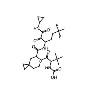 CC(F)(F)CCC(NC(=O)C1CC2(CCN1C(=O)C(NC(=O)O)C(C)(C)C)CC2)C(=O)C(=O)NC1CC1